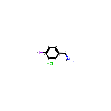 Cl.NCc1ccc(I)cc1